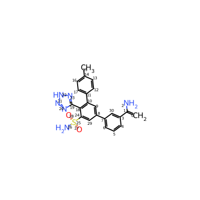 C=C(N)c1cccc(-c2cc(-c3ccc(C)cc3)c(-c3nn[nH]n3)c(S(N)(=O)=O)c2)c1